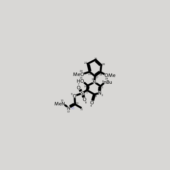 CCCCc1nc(=O)c(S(=O)(=O)O/C(C)=N\NC)c(O)n1-c1c(OC)cccc1OC